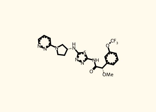 CO[C@H](C(=O)Nc1nnc(N[C@@H]2CCN(c3cccnn3)C2)s1)c1cccc(OC(F)(F)F)c1